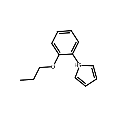 CCCOc1c[c]ccc1[SH]1C=CC=C1